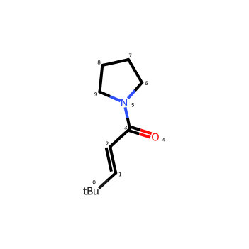 CC(C)(C)/C=C/C(=O)N1CCCC1